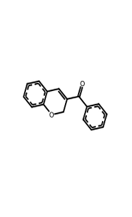 O=C(C1=Cc2ccccc2OC1)c1ccccc1